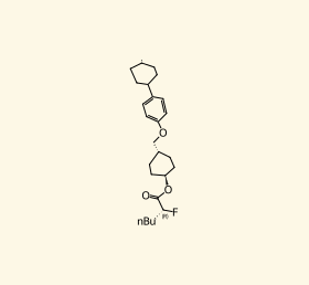 CCCC[C@@H](F)C(=O)O[C@H]1CC[C@H](COc2ccc(C3CC[CH]CC3)cc2)CC1